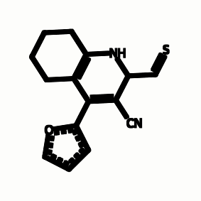 N#CC1=C(c2ccco2)C2=C(CCCC2)NC1C=S